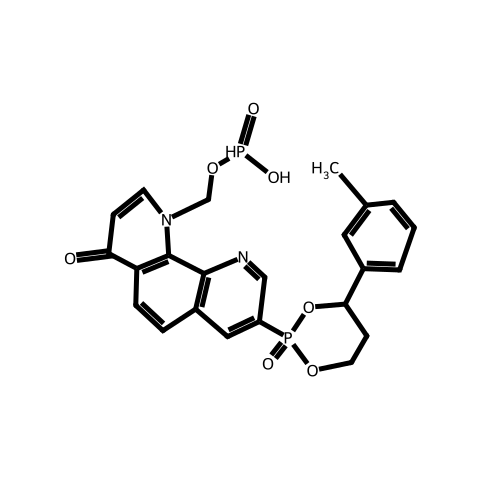 Cc1cccc(C2CCOP(=O)(c3cnc4c(ccc5c(=O)ccn(CO[PH](=O)O)c54)c3)O2)c1